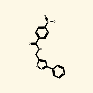 O=C(NCc1cc(-c2ccccc2)no1)c1ccc([N+](=O)[O-])cc1